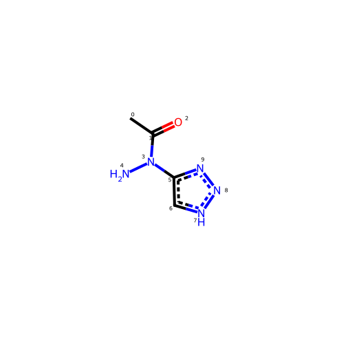 CC(=O)N(N)c1c[nH]nn1